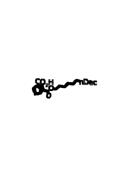 CCCCCCCCCCCCCCCCOC(=O)C1C2C=CC(C2)C1C(=O)O